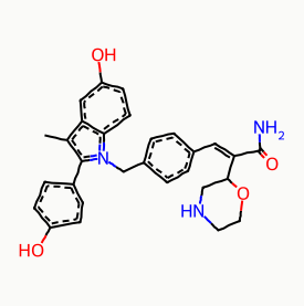 Cc1c(-c2ccc(O)cc2)n(Cc2ccc(/C=C(/C(N)=O)C3CNCCO3)cc2)c2ccc(O)cc12